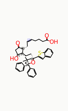 CC(C)(C)[Si](O[C@H](CC[C@H]1[C@H](O)CC(=O)[C@@H]1C/C=C\CCCC(=O)O)c1cc2ccccc2s1)(c1ccccc1)c1ccccc1